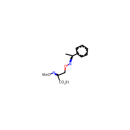 CCOC(=O)C(CON=C(C)c1ccccc1)=NOC